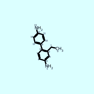 CCc1cc(N)ccc1-c1ccc(N)cc1